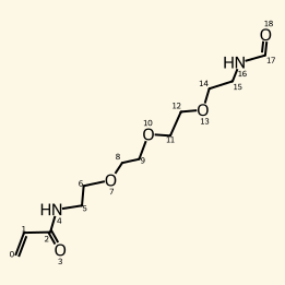 C=CC(=O)NCCOCCOCCOCCNC=O